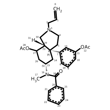 C=CCN1CC[C@@]2(c3cccc(OC(C)=O)c3)C[C@H](N(C)C(=O)c3ccccc3)CC(OC(C)=O)[C@@H]2C1